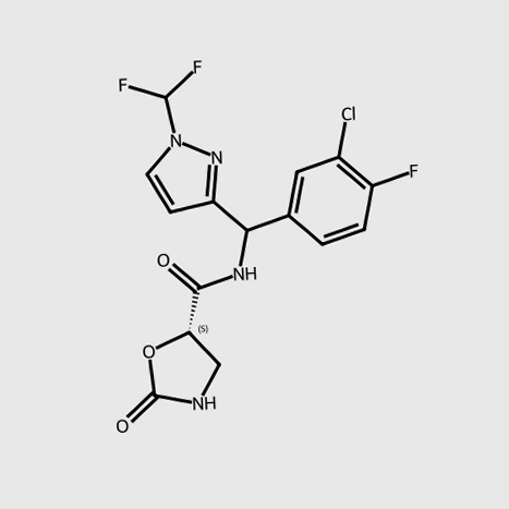 O=C1NC[C@@H](C(=O)NC(c2ccc(F)c(Cl)c2)c2ccn(C(F)F)n2)O1